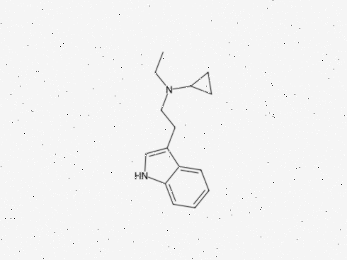 CCN(CCc1c[nH]c2ccccc12)C1CC1